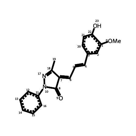 COc1cc(C=CC=C2C(=O)N(c3ccccc3)N=C2C)ccc1O